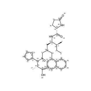 CC[C@H](C)[C@@H](CN(CC(=O)N(c1cccs1)[C@@H](C)C(=O)O)Cc1cccc2ccccc12)NC(=O)[C@@H]1CCC(=O)N1